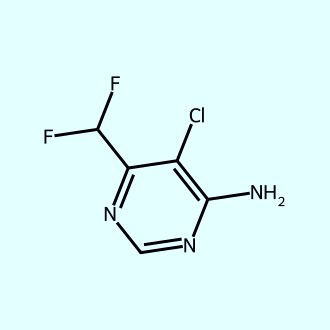 Nc1ncnc(C(F)F)c1Cl